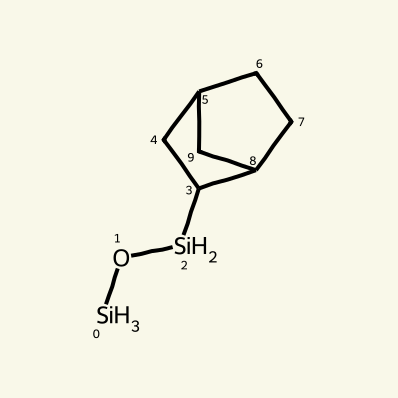 [SiH3]O[SiH2]C1CC2CCC1C2